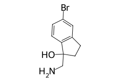 NCC1(O)CCc2cc(Br)ccc21